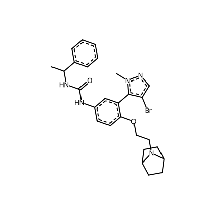 CC(NC(=O)Nc1ccc(OCCN2C3CCC2CC3)c(-c2c(Br)cnn2C)c1)c1ccccc1